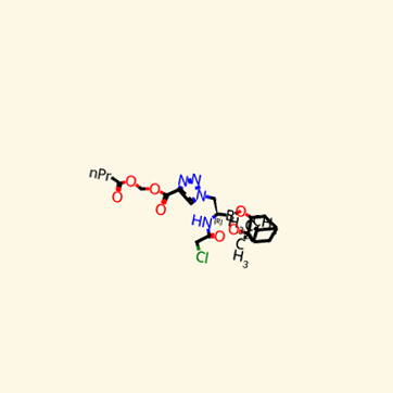 CCCC(=O)OCOC(=O)c1cn(C[C@H](NC(=O)CCl)B2OC3CC4CC(C4(C)C)[C@]3(C)O2)nn1